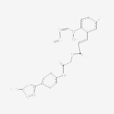 C=N/N=C\N(N)c1ccc(Cl)cc1/C=C/C(=O)NCC(=O)Nc1ccc(-c2nnc(N)s2)cc1